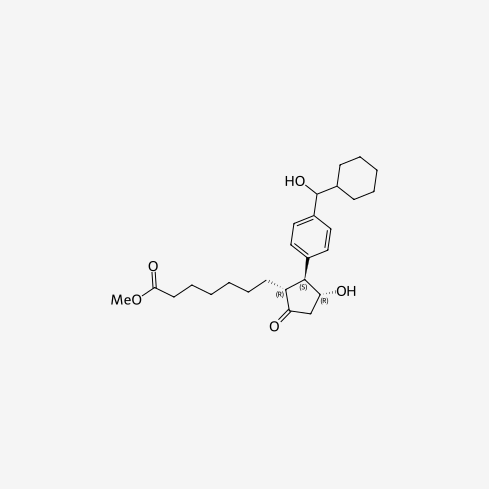 COC(=O)CCCCCC[C@H]1C(=O)C[C@@H](O)[C@@H]1c1ccc(C(O)C2CCCCC2)cc1